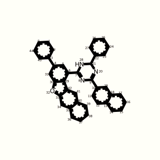 c1ccc(-c2cc(C3=NC(c4ccc5ccccc5c4)=NC(c4ccccc4)N3)c3c(c2)oc2cc4ccccc4cc23)cc1